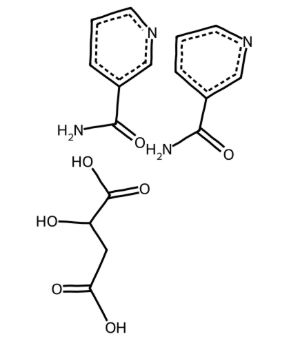 NC(=O)c1cccnc1.NC(=O)c1cccnc1.O=C(O)CC(O)C(=O)O